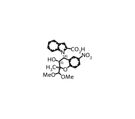 COC(OC)[C@@]1(C)Oc2ccc([N+](=O)[O-])cc2[C@@H](n2c(C(=O)O)cc3ccccc32)[C@@H]1O